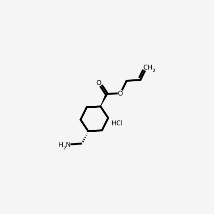 C=CCOC(=O)[C@H]1CC[C@H](CN)CC1.Cl